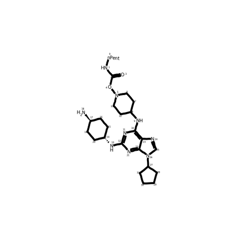 CCCCCNC(=O)ON1CCC(Nc2nc(N[C@H]3CC[C@H](N)CC3)nc3c2ncn3C2CCCC2)CC1